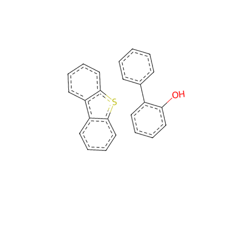 Oc1ccccc1-c1ccccc1.c1ccc2c(c1)sc1ccccc12